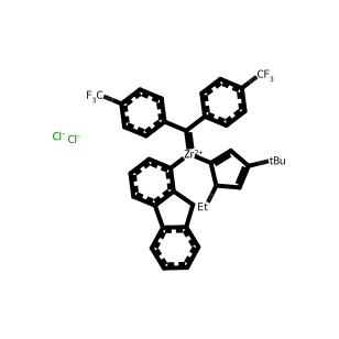 CCC1C=C(C(C)(C)C)C=[C]1[Zr+2](=[C](c1ccc(C(F)(F)F)cc1)c1ccc(C(F)(F)F)cc1)[c]1cccc2c1Cc1ccccc1-2.[Cl-].[Cl-]